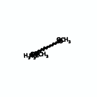 COC(=O)CCCCCCCCCCCCCCC(CC(=O)OC)C(C)C